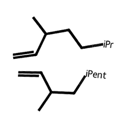 C=CC(C)CC(C)CCC.C=CC(C)CCC(C)C